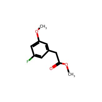 COC(=O)Cc1cc(F)cc(OC)c1